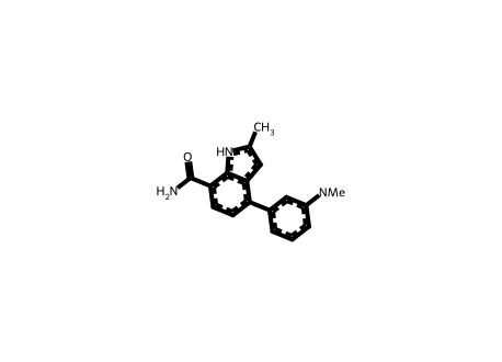 CNc1cccc(-c2ccc(C(N)=O)c3[nH]c(C)cc23)c1